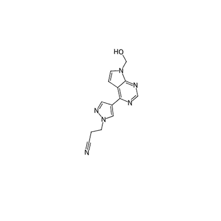 N#CCCn1cc(-c2ncnc3c2ccn3CO)cn1